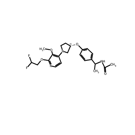 COc1c(N2CC[C@H](Oc3ccc(C(C)NC(C)=O)cc3)C2)ccnc1OCC(F)F